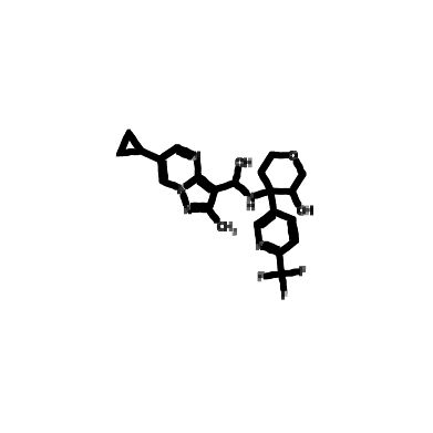 Cc1nn2cc(C3CC3)cnc2c1C(O)NC1(c2ccc(C(F)(F)F)nc2)CCOCC1O